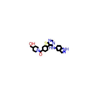 O=C(C1CCc2c(sc3ncnc(Nc4ccc5[nH]ncc5c4)c23)C1)N1CCC(CO)CC1